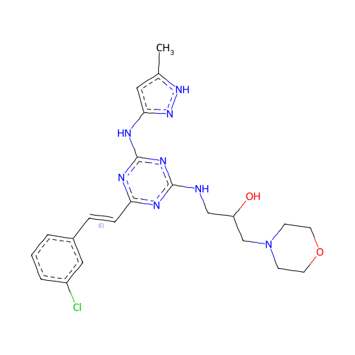 Cc1cc(Nc2nc(/C=C/c3cccc(Cl)c3)nc(NCC(O)CN3CCOCC3)n2)n[nH]1